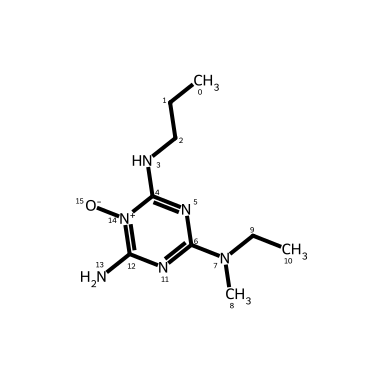 CCCNc1nc(N(C)CC)nc(N)[n+]1[O-]